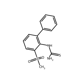 CS(=O)(=O)c1cccc(-c2ccccc2)c1NC(N)=S